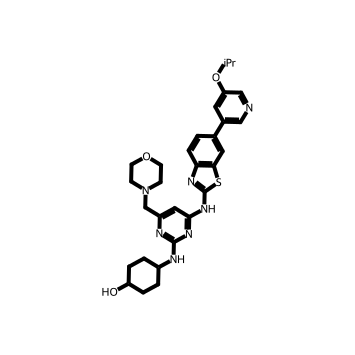 CC(C)Oc1cncc(-c2ccc3nc(Nc4cc(CN5CCOCC5)nc(NC5CCC(O)CC5)n4)sc3c2)c1